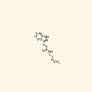 COCCNC(=O)C=Cc1n[nH]c2ncccc12